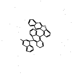 Cc1cc(-c2c3c(c(-c4cccc5sc6cc7ccccc7cc6c45)c4ccccc24)C=CCC3)c2ccccc2c1